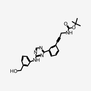 CC(C)(C)OC(=O)NCC#Cc1cccc(-c2ncnc(Nc3cccc(CO)c3)n2)c1